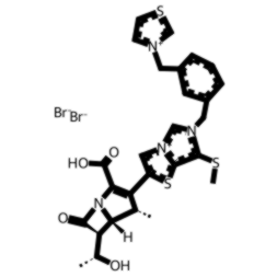 CSc1c2sc(C3=C(C(=O)O)N4C(=O)[C@H]([C@@H](C)O)[C@H]4[C@H]3C)c[n+]2cn1Cc1cccc(C[n+]2ccsc2)c1.[Br-].[Br-]